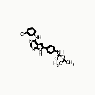 CC(C)OC(=O)Nc1ccc(-c2cc3c(Nc4cccc(Cl)c4)ncnc3[nH]2)cc1